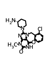 Cn1c(=O)[nH]c(=O)c2c1nc(N1CCC[C@@H](N)C1)n2Cc1ccccc1Cl